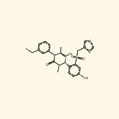 CC1=C(C#N)[C@@H](c2ccc(C#N)cc2S(=O)(=O)Cc2cscn2)N(C)C(=O)N1c1cccc(CF)c1